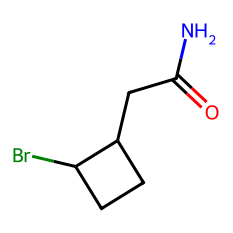 NC(=O)CC1CCC1Br